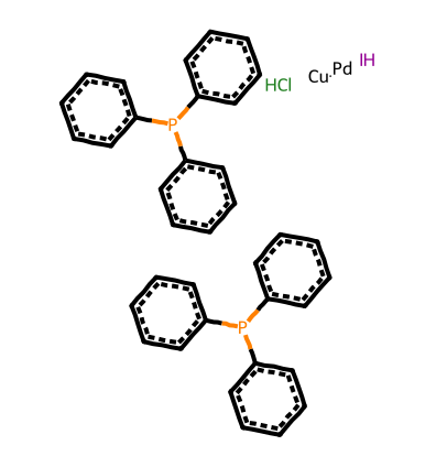 Cl.I.[Cu].[Pd].c1ccc(P(c2ccccc2)c2ccccc2)cc1.c1ccc(P(c2ccccc2)c2ccccc2)cc1